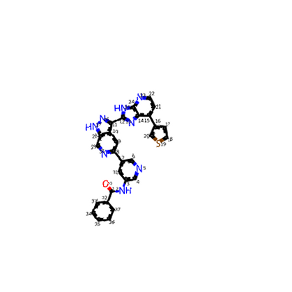 O=C(Nc1cncc(-c2cc3c(-c4nc5c(-c6ccsc6)ccnc5[nH]4)n[nH]c3cn2)c1)c1ccccc1